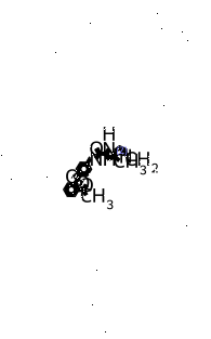 C=N/C=C\c1[nH]c(C(=O)NCc2ccc(S(=O)(=O)c3ccccc3C(C)=O)cc2)cc1C